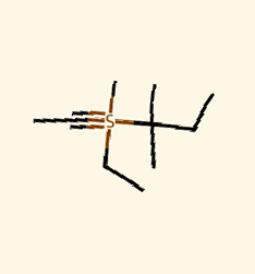 CC#S(C)(CC)C(C)(C)CC